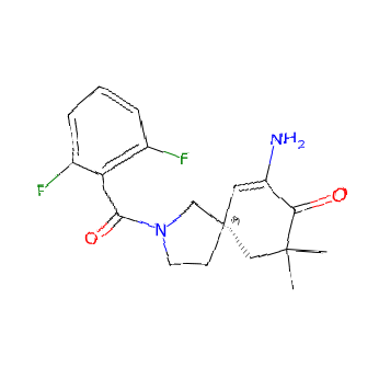 CC1(C)C[C@]2(C=C(N)C1=O)CCN(C(=O)c1c(F)cccc1F)C2